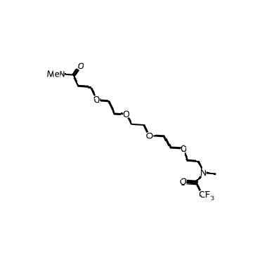 CNC(=O)CCOCCOCCOCCOCCN(C)C(=O)C(F)(F)F